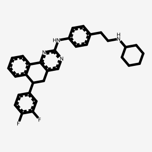 Fc1ccc(C2Cc3cnc(Nc4ccc(CCNC5CCCCC5)cc4)nc3-c3ccccc32)cc1F